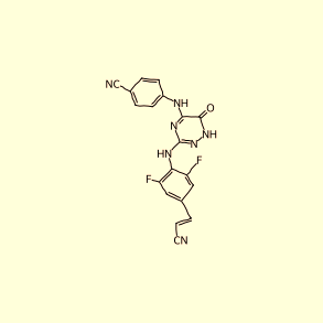 N#C/C=C/c1cc(F)c(Nc2n[nH]c(=O)c(Nc3ccc(C#N)cc3)n2)c(F)c1